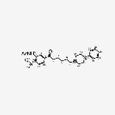 CC(=O)Nc1cc(C(=O)CCCCCN2CCN(c3ccccc3)CC2)ccc1[S+](C)[O-]